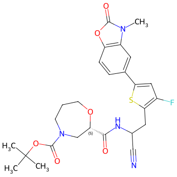 Cn1c(=O)oc2ccc(-c3cc(F)c(CC(C#N)NC(=O)[C@@H]4CN(C(=O)OC(C)(C)C)CCCO4)s3)cc21